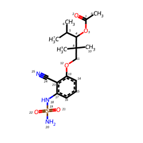 CC(=O)OC(C(C)C)C(C)(C)COc1cccc(NS(N)(=O)=O)c1C#N